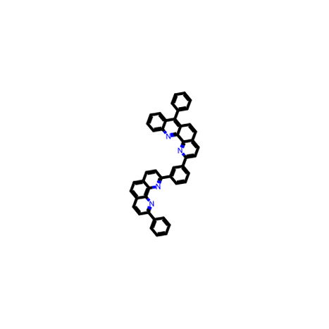 c1ccc(-c2ccc3ccc4ccc(-c5cccc(-c6ccc7ccc8c(-c9ccccc9)c9ccccc9nc8c7n6)c5)nc4c3n2)cc1